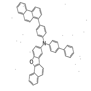 c1ccc(-c2ccc(N(c3ccc(-c4cccc5c4ccc4ccccc45)cc3)c3ccc4oc5c6ccccc6ccc5c4c3)cc2)cc1